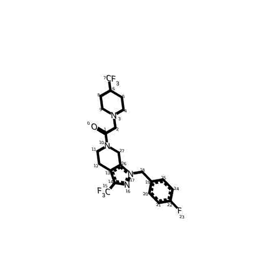 O=C(CN1CCC(C(F)(F)F)CC1)N1CCc2c(C(F)(F)F)nn(Cc3ccc(F)cc3)c2C1